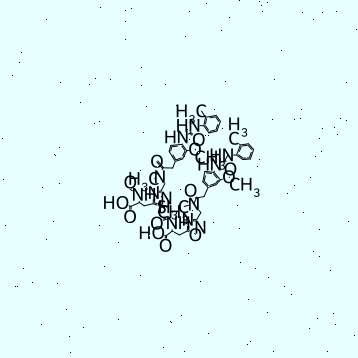 COc1cc(CC(=O)N(C)Cc2noc(CC(NC(C)=O)C(=O)O)n2)ccc1NC(=O)Nc1ccccc1C.COc1cc(CC(=O)N(C)Cc2nsc(CC(NC=O)C(=O)O)n2)ccc1NC(=O)Nc1ccccc1C